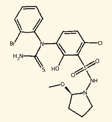 CO[C@@H]1CCCN1NS(=O)(=O)c1c(Cl)ccc(N(C(N)=S)c2ccccc2Br)c1O